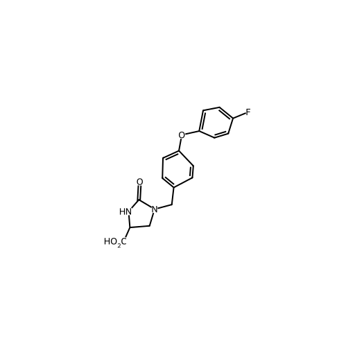 O=C(O)C1CN(Cc2ccc(Oc3ccc(F)cc3)cc2)C(=O)N1